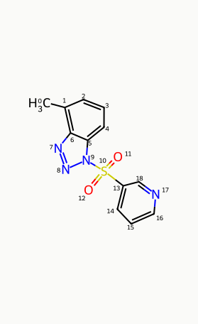 Cc1cccc2c1nnn2S(=O)(=O)c1cccnc1